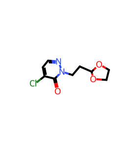 O=c1c(Cl)ccnn1CCC1OCCO1